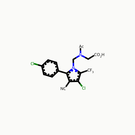 CC(=O)N(CC(=O)O)Cn1c(-c2ccc(Cl)cc2)c(C#N)c(Cl)c1C(F)(F)F